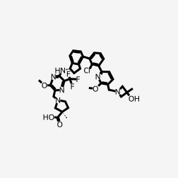 COc1nc(-c2cccc(-c3cccc4c3CC[C@@H]4Nc3nc(OC)c(CN4CC[C@@](C)(C(=O)O)C4)nc3C(F)(F)F)c2Cl)ccc1CN1CC(C)(O)C1